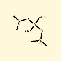 CCCCCC[Si](O)(O[SiH](C)C)O[SiH](C)C